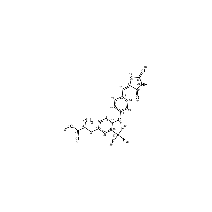 COC(=O)C(N)Cc1ccc(Oc2ccc(C=C3SC(=O)NC3=O)cc2)c(C(F)(F)F)c1